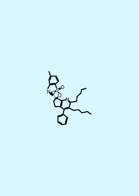 CCCCCc1nc2c(c(-c3ccccc3)c1CCCCC)CC[C@@]2(C#N)OS(=O)(=O)c1ccc(C)cc1C